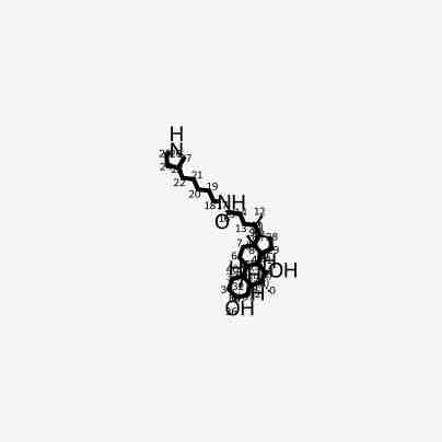 C[C@H]1[C@@H](O)[C@@H]2[C@H](CC[C@]3(C)[C@@H]([C@H](C)CCC(=O)NCCCCCC4CCNC4)CC[C@@H]23)[C@@]2(C)CC[C@@H](O)C[C@@H]12